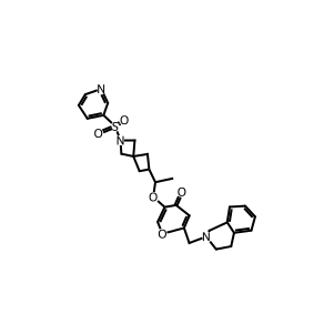 CC(Oc1coc(CN2CCc3ccccc3C2)cc1=O)C1CC2(C1)CN(S(=O)(=O)c1cccnc1)C2